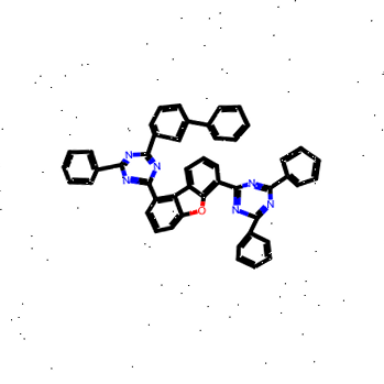 c1ccc(-c2cccc(-c3nc(-c4ccccc4)nc(-c4cccc5oc6c(-c7nc(-c8ccccc8)nc(-c8ccccc8)n7)cccc6c45)n3)c2)cc1